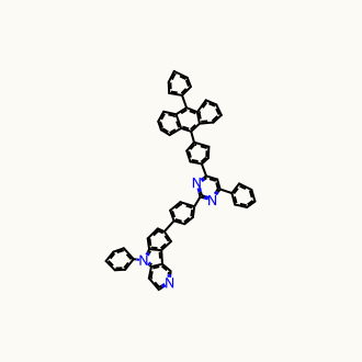 c1ccc(-c2cc(-c3ccc(-c4c5ccccc5c(-c5ccccc5)c5ccccc45)cc3)nc(-c3ccc(-c4ccc5c(c4)c4cnccc4n5-c4ccccc4)cc3)n2)cc1